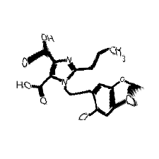 CCCc1nc(C(=O)O)c(C(=O)O)n1Cc1cc2c(cc1Cl)OCO2